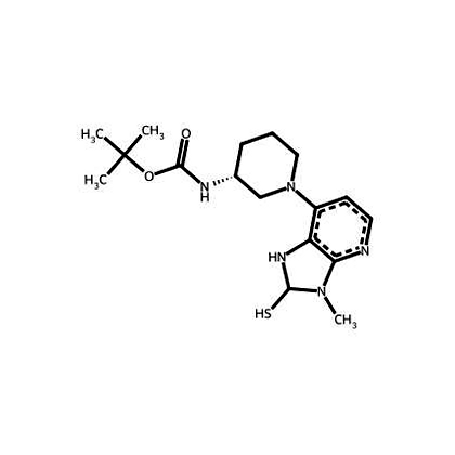 CN1c2nccc(N3CCC[C@@H](NC(=O)OC(C)(C)C)C3)c2NC1S